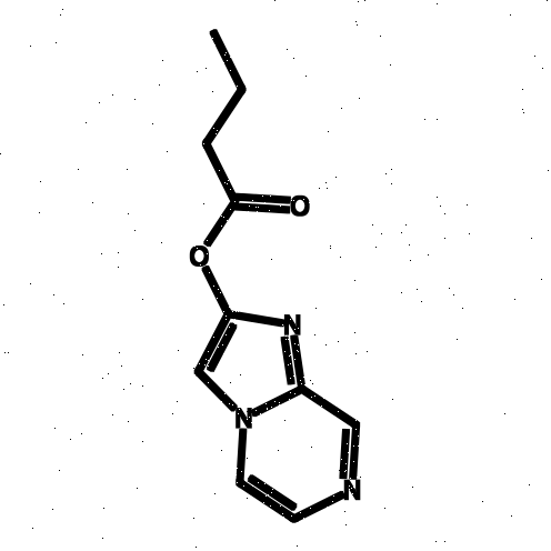 CCCC(=O)Oc1cn2ccncc2n1